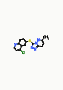 Cc1ccc2nnc(Sc3ccc4nccc(Cl)c4c3)n2n1